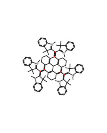 CN1C(=CC=C2CCCC(C=CC3=[N+](C)c4ccccc4C3(C)C)=C2C(C2=C(C=CC3=[N+](C)c4ccccc4C3(C)C)CCCC2=CC=C2N(C)c3ccccc3C2(C)C)C2=C(C=CC3=[N+](C)c4ccccc4C3(C)C)CCCC2=CC=C2N(C)c3ccccc3C2(C)C)C(C)(C)c2ccccc21